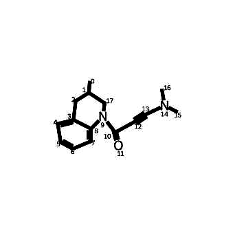 CC1Cc2ccccc2N(C(=O)C#CN(C)C)C1